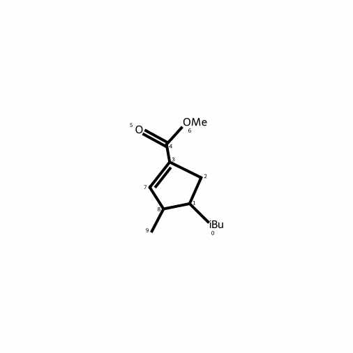 CCC(C)C1CC(C(=O)OC)=CC1C